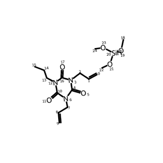 C=CCn1c(=O)n(CC=C)c(=O)n(CCC)c1=O.CO[SiH](OC)OC